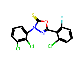 Fc1cccc(Cl)c1-c1nn(-c2cccc(Cl)c2Cl)c(=S)o1